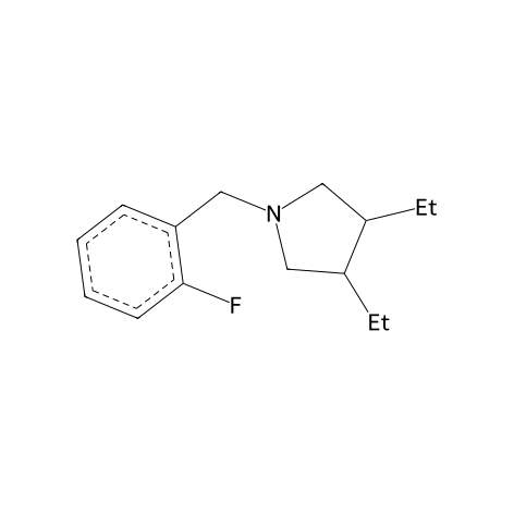 CCC1CN(Cc2ccccc2F)CC1CC